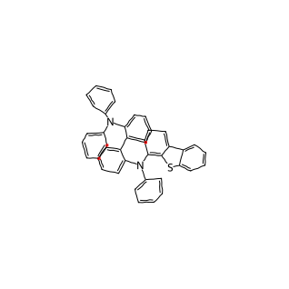 c1ccc(N(c2ccccc2)c2ccccc2-c2ccccc2N(c2ccccc2)c2cccc3c2sc2ccccc23)cc1